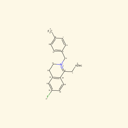 CCCCCCCCCCCC1=[N+](Cc2ccc(C(F)(F)F)cc2)CCc2cc(F)ccc21